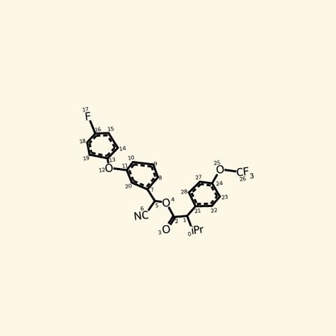 CC(C)C(C(=O)OC(C#N)c1cccc(Oc2ccc(F)cc2)c1)c1ccc(OC(F)(F)F)cc1